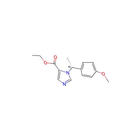 CCOC(=O)c1cncn1[C@H](C)c1ccc(OC)cc1